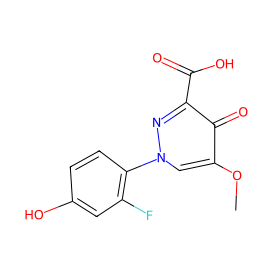 COc1cn(-c2ccc(O)cc2F)nc(C(=O)O)c1=O